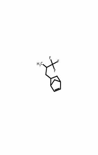 CC(CC1CC2C=CC1C2)C(F)(F)F